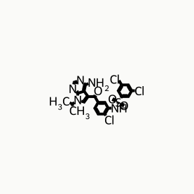 CC(C)n1cc(C(=O)c2ccc(Cl)c(NS(=O)(=O)c3cc(Cl)cc(Cl)c3)c2)c2c(N)ncnc21